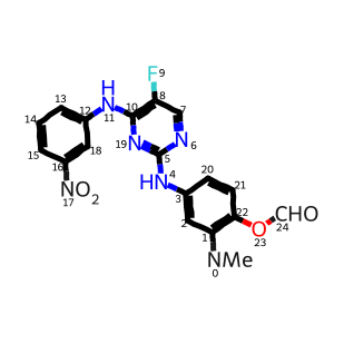 CNc1cc(Nc2ncc(F)c(Nc3cccc([N+](=O)[O-])c3)n2)ccc1OC=O